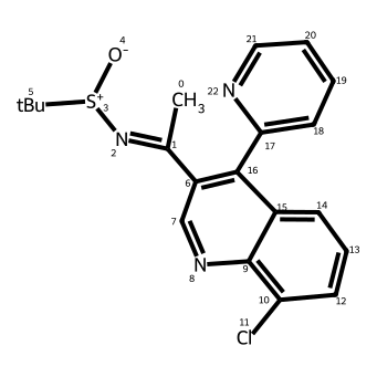 CC(=N[S+]([O-])C(C)(C)C)c1cnc2c(Cl)cccc2c1-c1ccccn1